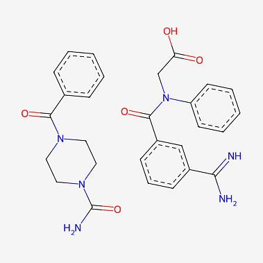 N=C(N)c1cccc(C(=O)N(CC(=O)O)c2ccccc2)c1.NC(=O)N1CCN(C(=O)c2ccccc2)CC1